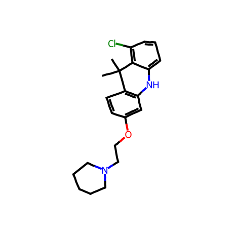 CC1(C)c2ccc(OCCN3CCCCC3)cc2Nc2cccc(Cl)c21